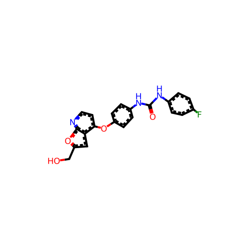 O=C(Nc1ccc(F)cc1)Nc1ccc(Oc2ccnc3oc(CO)cc23)cc1